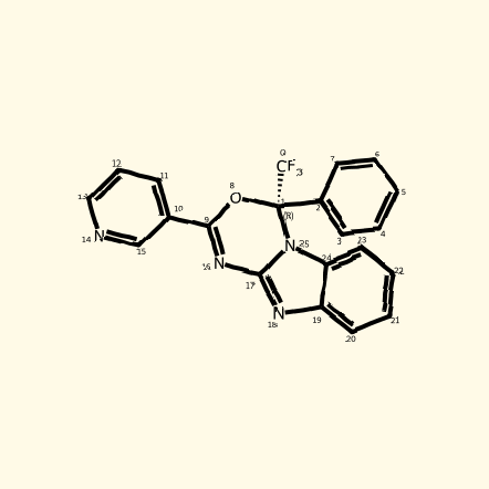 FC(F)(F)[C@@]1(c2ccccc2)OC(c2cccnc2)=Nc2nc3ccccc3n21